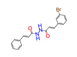 O=C(C=Cc1ccccc1)NNC(=O)/C=C/c1cccc(Br)c1